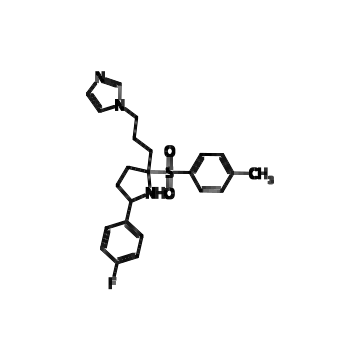 Cc1ccc(S(=O)(=O)C2(CCCn3ccnc3)CCC(c3ccc(F)cc3)N2)cc1